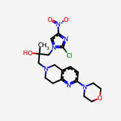 CC(O)(CN1CCc2nc(N3CCOCC3)ccc2C1)Cn1cc([N+](=O)[O-])nc1Cl